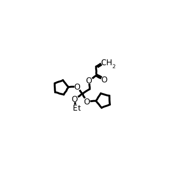 C=CC(=O)OCC(OCC)(OC1CCCC1)OC1CCCC1